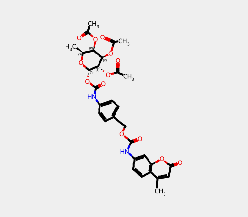 CC(=O)O[C@H]1[C@H](OC(C)=O)[C@H](OC(=O)Nc2ccc(COC(=O)Nc3ccc4c(C)cc(=O)oc4c3)cc2)O[C@@H](C)[C@H]1OC(C)=O